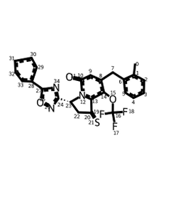 Cc1ccccc1Cc1cc(=O)n2c(c1OC(F)(F)F)C(=S)C[C@@H]2c1noc(-c2ccccc2)n1